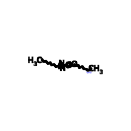 C/C=C\CCCCCCOc1ccc(-c2ncc(CCCCCCCCC)cn2)cc1